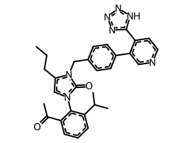 CCCc1cn(-c2c(C(C)=O)cccc2C(C)C)c(=O)n1Cc1ccc(-c2cnccc2-c2nnn[nH]2)cc1